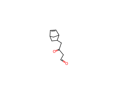 O=CCC(=O)CC1CC2C=CC1C2